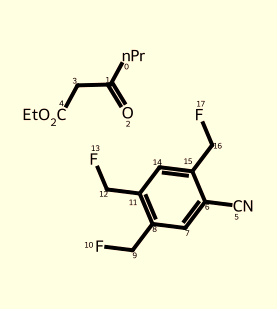 CCCC(=O)CC(=O)OCC.N#Cc1cc(CF)c(CF)cc1CF